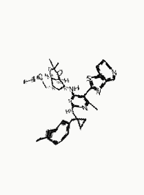 Cc1ccc(C2(Nc3nc(C)c(-c4nc5cnccc5s4)c(N[C@@H]4C[C@H](CO)[C@H]5OC(C)(C)O[C@H]54)n3)CC2)cc1